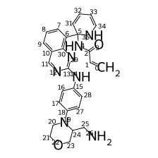 C=CC(=O)NC1(c2cccc3cnc(Nc4ccc(N5CCOCC5CN)cc4)nc23)C=CC=CN1